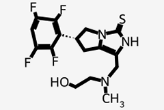 CN(CCO)Cc1[nH]c(=S)n2c1C[C@H](c1c(F)c(F)cc(F)c1F)C2